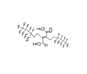 O=C(O)C(CCC(F)(F)C(F)(F)C(F)(F)C(F)(F)F)=C(CCC(F)(F)C(F)(F)C(F)(F)C(F)(F)F)C(=O)O